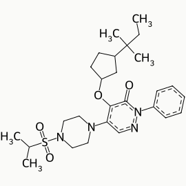 CCC(C)(C)C1CCC(Oc2c(N3CCN(S(=O)(=O)C(C)C)CC3)cnn(-c3ccccc3)c2=O)C1